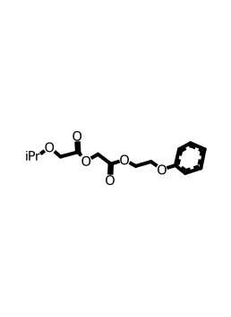 CC(C)OCC(=O)OCC(=O)OCCOc1ccccc1